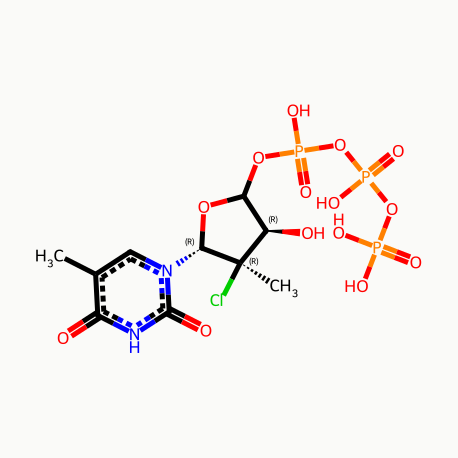 Cc1cn([C@@H]2OC(OP(=O)(O)OP(=O)(O)OP(=O)(O)O)[C@@H](O)[C@@]2(C)Cl)c(=O)[nH]c1=O